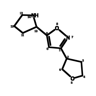 c1c(C2CCOC2)noc1C1CCCN1